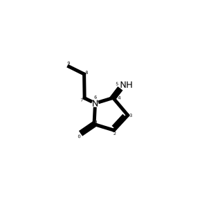 C=C1C=CC(=N)N1CCC